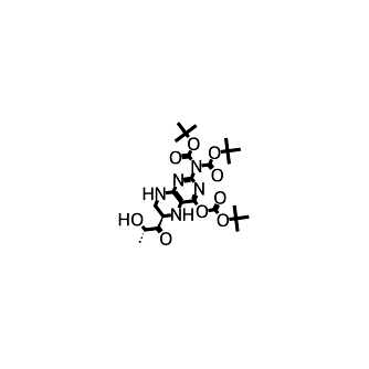 C[C@H](O)C(=O)[C@H]1CNc2nc(N(C(=O)OC(C)(C)C)C(=O)OC(C)(C)C)nc(OC(=O)OC(C)(C)C)c2N1